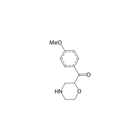 COc1ccc(C(=O)C2CNCCO2)cc1